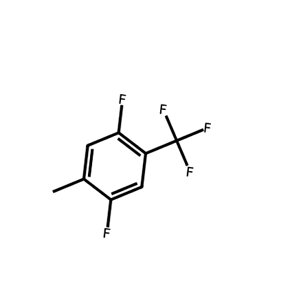 Cc1cc(F)c(C(F)(F)F)cc1F